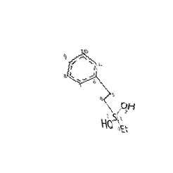 CC[Si](O)(O)CCc1ccccc1